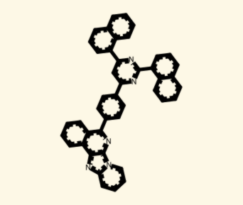 c1ccc2c(-c3cc(-c4ccc(-c5nc6c(nc7ccccn76)c6ccccc56)cc4)nc(-c4cccc5ccccc45)n3)cccc2c1